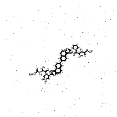 COC(=O)NC(C(=O)N1C[Si](C)(C)CC1c1nc2ccc3cc(-c4ccc5c(ccc6nc([C@@H]7CCCN7C(=O)C(NC(=O)CO)C(C)C)[nH]c65)c4)ccc3c2[nH]1)C(C)C